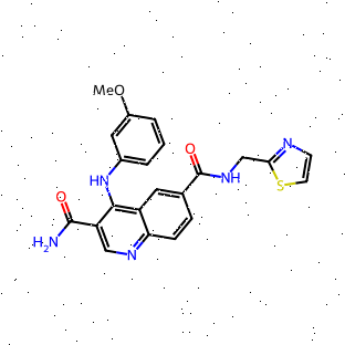 COc1cccc(Nc2c(C(N)=O)cnc3ccc(C(=O)NCc4nccs4)cc23)c1